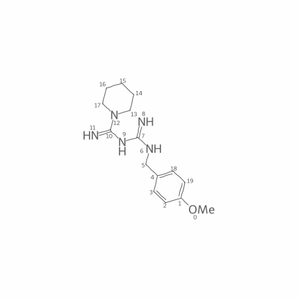 COc1ccc(CNC(=N)NC(=N)N2CCCCC2)cc1